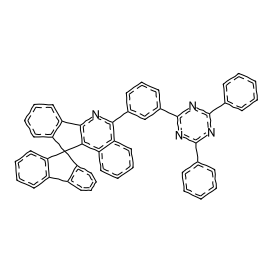 c1ccc(-c2nc(-c3ccccc3)nc(-c3cccc(-c4nc5c(c6ccccc46)C4(c6ccccc6-c6ccccc64)c4ccccc4-5)c3)n2)cc1